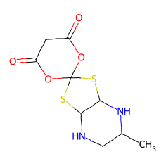 CC1CNC2SC3(OC(=O)CC(=O)O3)SC2N1